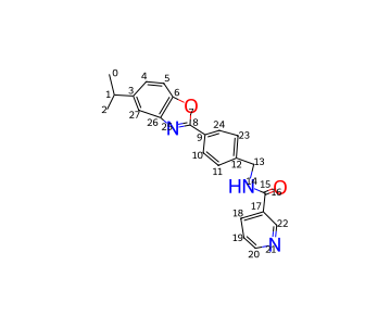 CC(C)c1ccc2oc(-c3ccc(CNC(=O)c4cccnc4)cc3)nc2c1